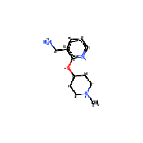 CN1CCC(Oc2ncccc2CN)CC1